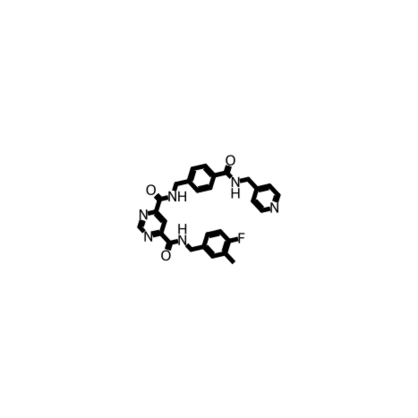 Cc1cc(CNC(=O)c2cc(C(=O)NCc3ccc(C(=O)NCc4ccncc4)cc3)ncn2)ccc1F